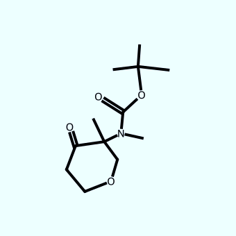 CN(C(=O)OC(C)(C)C)C1(C)COCCC1=O